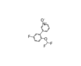 [O-][n+]1cccc(-c2cc(F)ccc2OC(F)F)c1